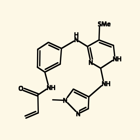 C=CC(=O)Nc1cccc(NC2=NC(Nc3cnn(C)c3)NC=C2SC)c1